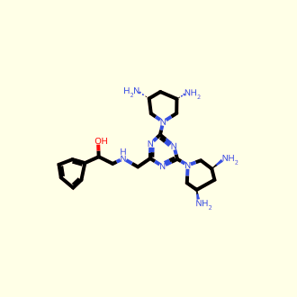 N[C@@H]1C[C@H](N)CN(c2nc(CNCC(O)c3ccccc3)nc(N3C[C@H](N)C[C@H](N)C3)n2)C1